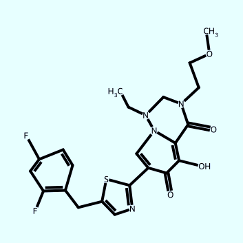 CCN1CN(CCOC)C(=O)c2c(O)c(=O)c(-c3ncc(Cc4ccc(F)cc4F)s3)cn21